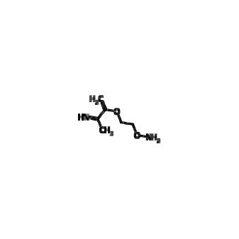 C=C(OCCON)C(C)=N